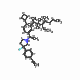 C#Cc1ccc(C2(F)CCN(C(=C)C(/C=C\C(=C)C3CCC3)=C/CC(=C)C(C)(C)/C(CC)=C(\C)CCC)C2)cc1